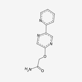 NC(=O)COc1cnc(-c2ccccn2)cn1